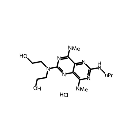 CCCNc1nc(NC)c2nc(N(CCO)CCO)nc(NC)c2n1.Cl